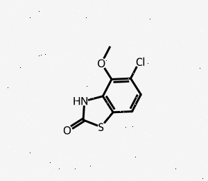 COc1c(Cl)ccc2sc(=O)[nH]c12